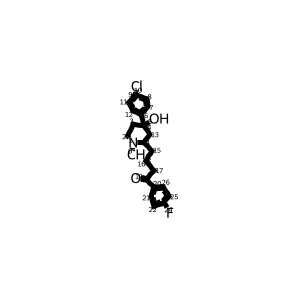 CN1CCC(O)(c2ccc(Cl)cc2)CC1CCCC(=O)c1ccc(F)cc1